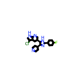 Fc1ccc(-c2nc(-c3ccncc3)c(-c3cnc4[nH]cc(Cl)c4c3)[nH]2)cc1